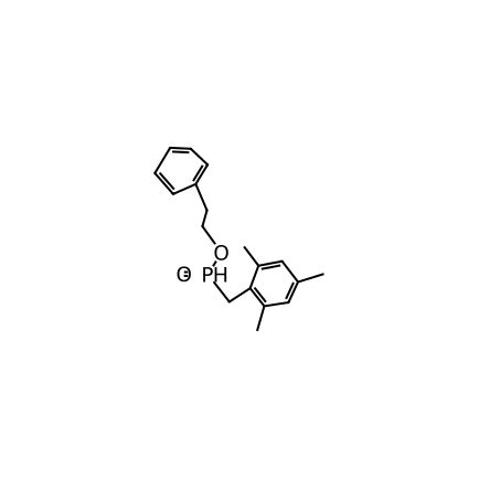 Cc1cc(C)c(C[PH](=O)OCCc2ccccc2)c(C)c1